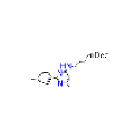 CCCCCCCCCCCCCCNc1cc(C)nc(-c2ccc(C)cc2)n1